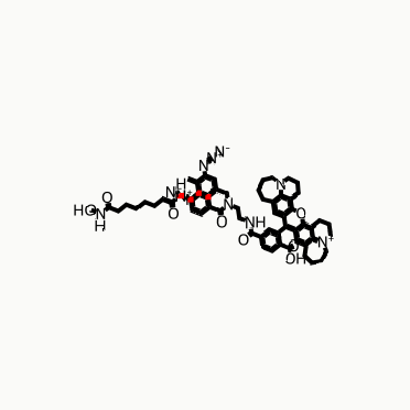 Cc1c(N=[N+]=[N-])cc(CN(CCNC(=O)c2ccc(C(=O)O)c(C3=c4cc5c6c(c4Oc4c3cc3c7c4CCCN7CCCC3)CCC[N+]=6CCCC5)c2)C(=O)c2ccc(NC(=O)CCCCCCC(=O)NO)cc2)cc1N=[N+]=[N-]